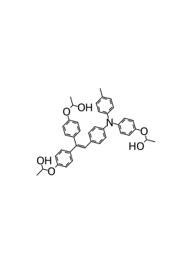 Cc1ccc(N(c2ccc(C=C(c3ccc(OC(C)O)cc3)c3ccc(OC(C)O)cc3)cc2)c2ccc(OC(C)O)cc2)cc1